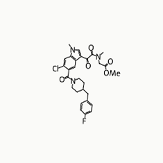 COC(=O)CN(C)C(=O)C(=O)c1cn(C)c2cc(Cl)c(C(=O)N3CCC(Cc4ccc(F)cc4)CC3)cc12